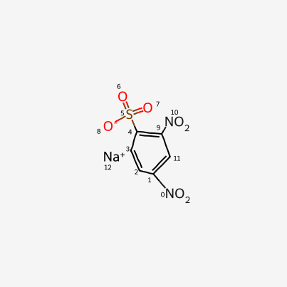 O=[N+]([O-])c1ccc(S(=O)(=O)[O-])c([N+](=O)[O-])c1.[Na+]